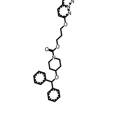 O=C(OCCCOc1ccc2ncnn2n1)N1CCC(OC(c2ccccc2)c2ccccc2)CC1